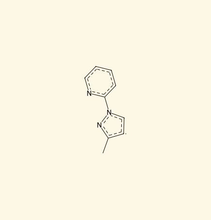 Cc1[c]cn(-c2ccccn2)n1